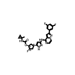 CC1(NC(=O)O[C@H]2C[C@@H](c3cc(Nc4nccn5nc(-c6cc(F)cc(F)c6)cc45)n[nH]3)C[C@H]2F)CC1